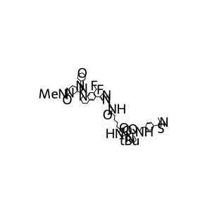 CNC(=O)N1CCc2c(c(N3CCCc4cc(-c5cnn(CCNC(=O)CCCCC(=O)N[C@H](C(=O)N6CCC[C@H]6C(=O)NCc6ccc(-c7scnc7C)cc6)C(C)(C)C)c5)c(C(F)F)cc43)nn2C2CCOCC2)C1